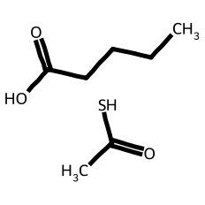 CC(=O)S.CCCCC(=O)O